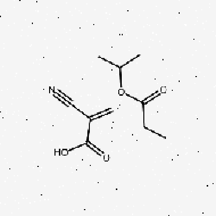 C=C(C#N)C(=O)O.CCC(=O)OC(C)C